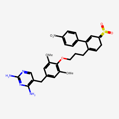 COc1cc(Cc2cnc(N)nc2N)cc(OC)c1OCCCC1=CCC(=S(=O)=O)C=C1c1ccc([N+](=O)[O-])cc1